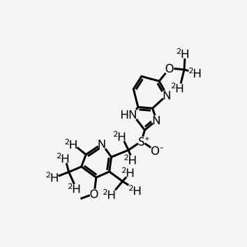 [2H]c1nc(C([2H])([2H])[S+]([O-])c2nc3nc(OC([2H])([2H])[2H])ccc3[nH]2)c(C([2H])([2H])[2H])c(OC)c1C([2H])([2H])[2H]